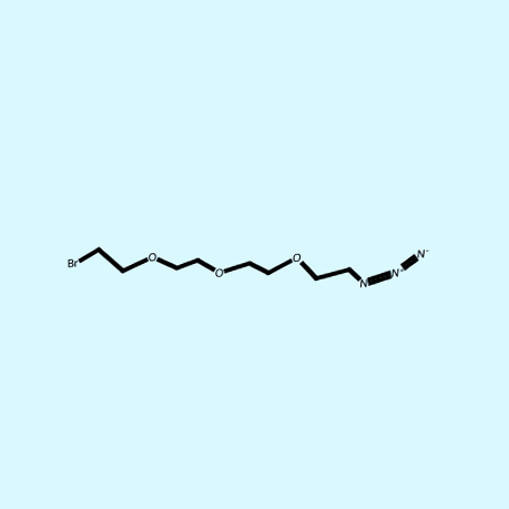 [N-]=[N+]=NCCOCCOCCOCCBr